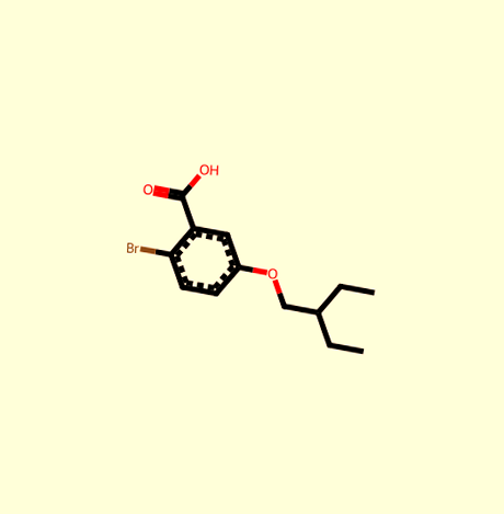 CCC(CC)COc1ccc(Br)c(C(=O)O)c1